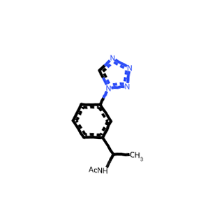 CC(=O)NC(C)c1cccc(-n2cnnn2)c1